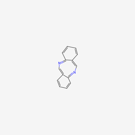 C1=c2ccccc2=NC=c2ccccc2=N1